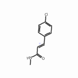 CNC(=O)/C=C/c1ccc(Cl)cc1